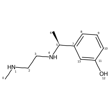 CNCCN[C@@H](C)c1cccc(O)c1